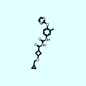 Cc1cc(NC(=O)NC(=O)C2CC(OCC3CC3)C2)ccc1Oc1nccs1